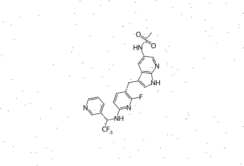 CS(=O)(=O)Nc1cnc2[nH]cc(Cc3ccc(NC(c4cccnc4)C(F)(F)F)nc3F)c2c1